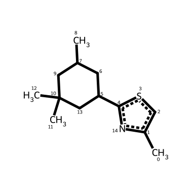 Cc1csc(C2CC(C)CC(C)(C)C2)n1